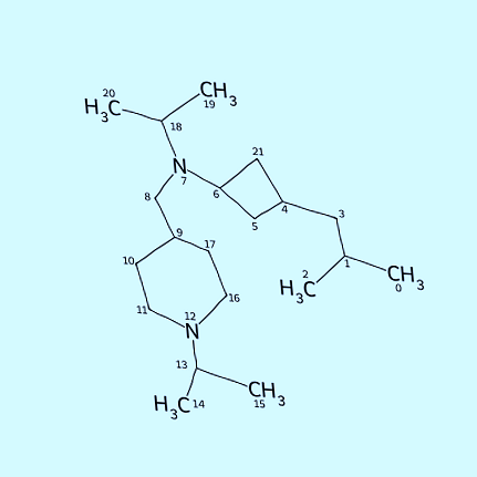 CC(C)CC1CC(N(CC2CCN(C(C)C)CC2)C(C)C)C1